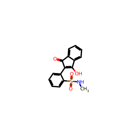 CNS(=O)(=O)c1ccccc1C1=C(O)c2ccccc2C1=O